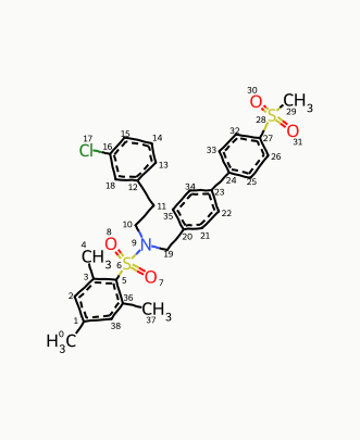 Cc1cc(C)c(S(=O)(=O)N(CCc2cccc(Cl)c2)Cc2ccc(-c3ccc(S(C)(=O)=O)cc3)cc2)c(C)c1